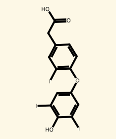 O=C(O)Cc1ccc(Oc2cc(I)c(O)c(I)c2)c(I)c1